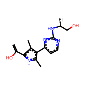 C=C(O)c1[nH]c(C)c(-c2ccnc(N[C@@H](CC)CO)n2)c1C